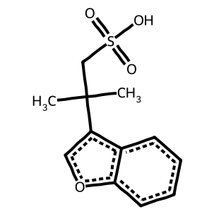 CC(C)(CS(=O)(=O)O)c1coc2ccccc12